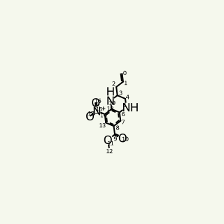 C=CCC1CNc2cc(C(=O)OC)cc([N+](=O)[O-])c2N1